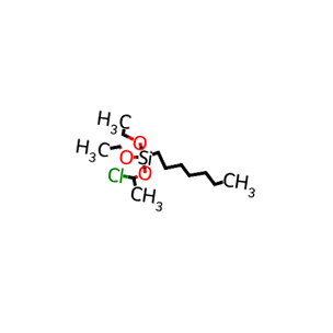 CCCCCCC[Si](OCC)(OCC)OC(C)Cl